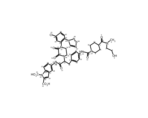 CN(CCO)C(=O)C1CCN(C(=O)Nc2ccc(CC(C(=O)Nc3ccc4c(c3)cc(C(=O)O)n4C(=O)O)N3CCN(c4cc(Cl)ccc4-n4cnnn4)C(=O)C3=O)cc2)CC1